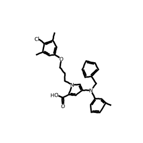 Cc1cccc(N(Cc2ccccc2)c2cc(C(=O)O)n(CCCOc3cc(C)c(Cl)c(C)c3)c2)c1